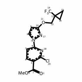 COC(=O)c1ccc(-n2ccc(OCC3(C(F)(F)F)CC3)n2)nc1Cl